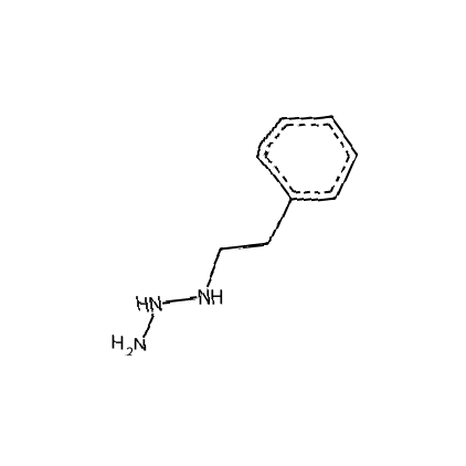 NNNCCc1ccccc1